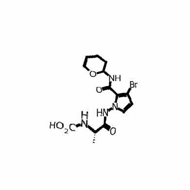 C[C@H](NC(=O)O)C(=O)Nn1ccc(Br)c1C(=O)NC1CCCCO1